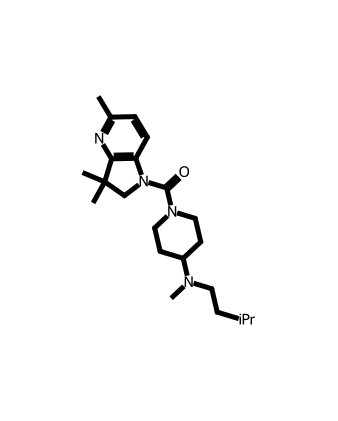 Cc1ccc2c(n1)C(C)(C)CN2C(=O)N1CCC(N(C)CCC(C)C)CC1